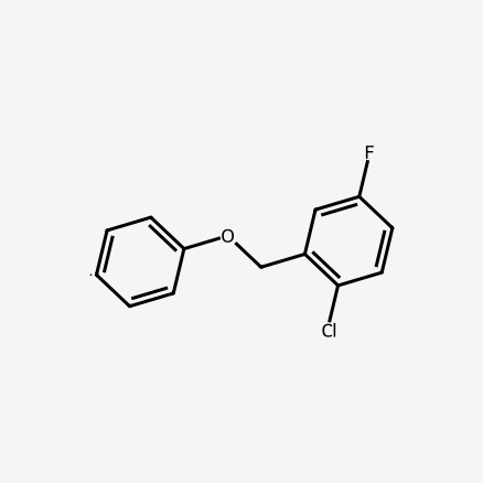 Fc1ccc(Cl)c(COc2cc[c]cc2)c1